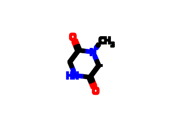 CN1[CH]C(=O)NCC1=O